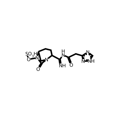 N=C(NC(=O)Cc1nc[nH]n1)C1CCC2CN1C(=O)N2OS(=O)(=O)O